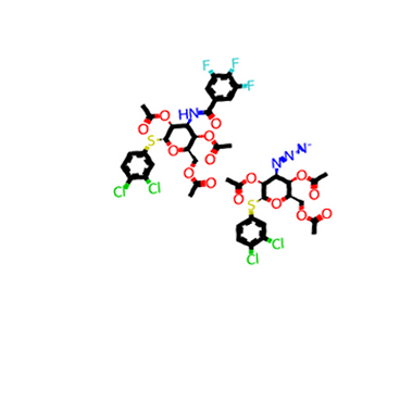 CC(=O)OC[C@H]1O[C@H](Sc2ccc(Cl)c(Cl)c2)[C@H](OC(C)=O)[C@@H](N=[N+]=[N-])[C@H]1OC(C)=O.CC(=O)OC[C@H]1O[C@H](Sc2ccc(Cl)c(Cl)c2)[C@H](OC(C)=O)[C@@H](NC(=O)c2cc(F)c(F)c(F)c2)[C@H]1OC(C)=O